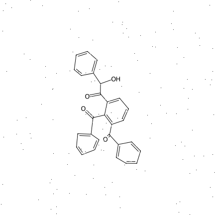 O=C(c1ccccc1)c1cccc(C(=O)C(O)c2ccccc2)c1C(=O)c1ccccc1